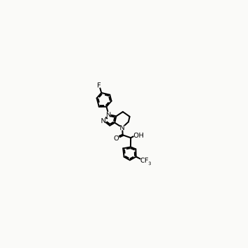 O=C(C(O)c1cccc(C(F)(F)F)c1)N1CCCc2c1cnn2-c1ccc(F)cc1